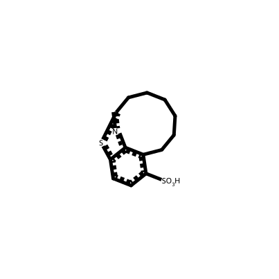 O=S(=O)(O)c1ccc2sc3nc2c1CCCCCC3